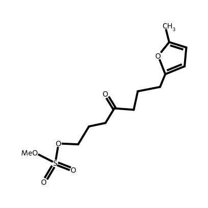 COS(=O)(=O)OCCCC(=O)CCCc1ccc(C)o1